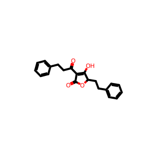 O=C(CCc1ccccc1)C1=C(O)C(CCc2ccccc2)OC1=O